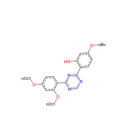 CCCCCCCCOc1ccc(-c2ncnc(-c3ccc(OCCCC)cc3O)n2)c(OCCCCCCCC)c1